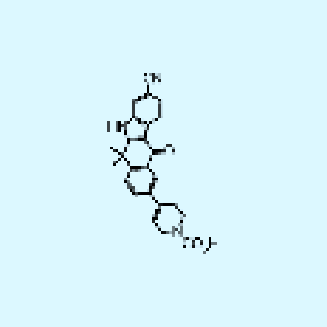 CC1(C)c2ccc(C3=CCN(C(=O)O)CC3)cc2C(=O)c2c1[nH]c1cc(C#N)ccc21